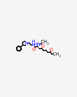 CCC(=O)CCCCC[C@H](NC(C)=O)C(=O)NCCN1CCC(c2ccccc2)C1